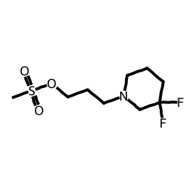 CS(=O)(=O)OCCCN1CCCC(F)(F)C1